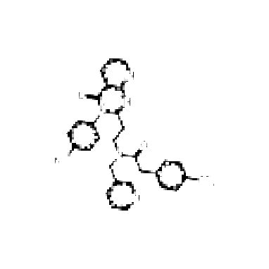 N#Cc1ccc(-n2c(CCN(Cc3cccnc3)C(=O)Cc3ccc(C(F)(F)F)cc3)nc3ncccc3c2=O)cc1